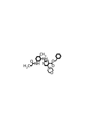 C=CC(=O)Nc1ccc(C)c(Nc2ncc(N3CCOCC3)c(C(=O)OCc3ccccc3)n2)c1